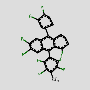 Fc1ccc(-c2c3cc(F)c(F)cc3c(-c3c(F)c(F)c(C(F)(F)F)c(F)c3F)c3c(F)cccc23)cc1F